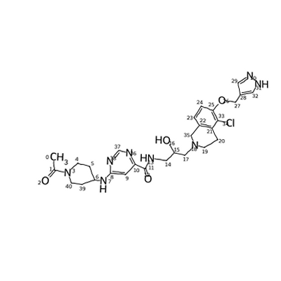 CC(=O)N1CCC(Nc2cc(C(=O)NCC(O)CN3CCc4c(ccc(OCc5cn[nH]c5)c4Cl)C3)ncn2)CC1